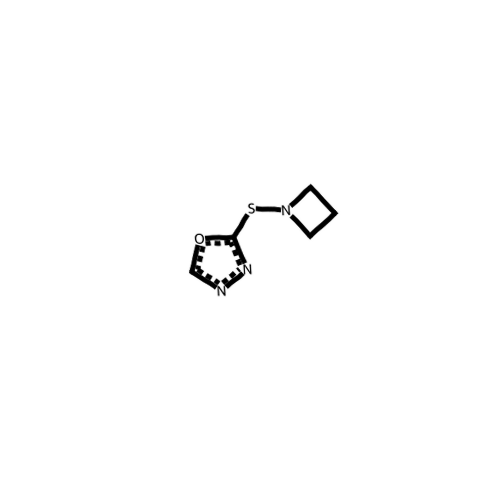 c1nnc(SN2CCC2)o1